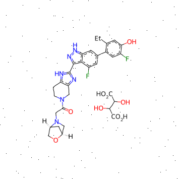 CCc1cc(O)c(F)cc1-c1cc(F)c2c(-c3nc4c([nH]3)CCN(C(=O)CN3C[C@@H]5C[C@H]3CO5)C4)n[nH]c2c1.O=C(O)C(O)C(O)C(=O)O